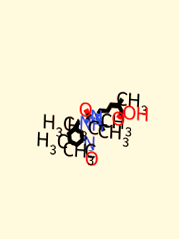 CC(=CCCN(C(=O)NCC1(C)CC(N=C=O)CC(C)(C)C1)C(C)(C)C)C(=O)O